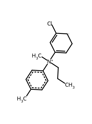 CCC[N+](C)(C1=CC[CH]C(Cl)=C1)c1ccc(C)cc1